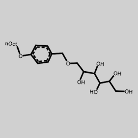 CCCCCCCCOc1ccc(COCC(O)C(O)C(O)C(O)CO)cc1